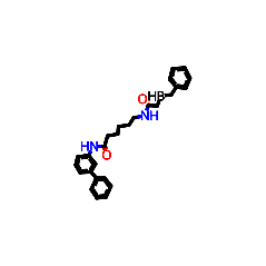 O=C(CBCc1ccccc1)NCCCCCC(=O)Nc1cccc(-c2ccccc2)c1